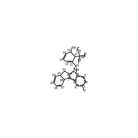 Cc1ccc2c(c1)c1c(n2CC2=CC=CC(C)C2C(F)(F)F)CC2C=CC=CC12